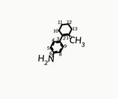 CC1=C(c2ccc(N)cc2)CCCC1